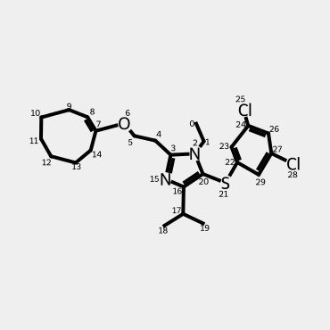 CCn1c(CCO/C2=C/CCCCCC2)nc(C(C)C)c1Sc1cc(Cl)cc(Cl)c1